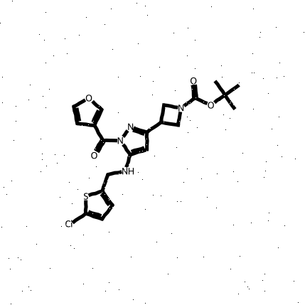 CC(C)(C)OC(=O)N1CC(c2cc(NCc3ccc(Cl)s3)n(C(=O)c3ccoc3)n2)C1